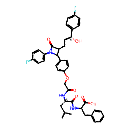 CC(C)C[C@@H](NC(=O)COc1ccc(C2C(CC[C@@H](O)c3ccc(F)cc3)C(=O)N2c2ccc(F)cc2)cc1)C(=O)NC(Cc1ccccc1)C(=O)O